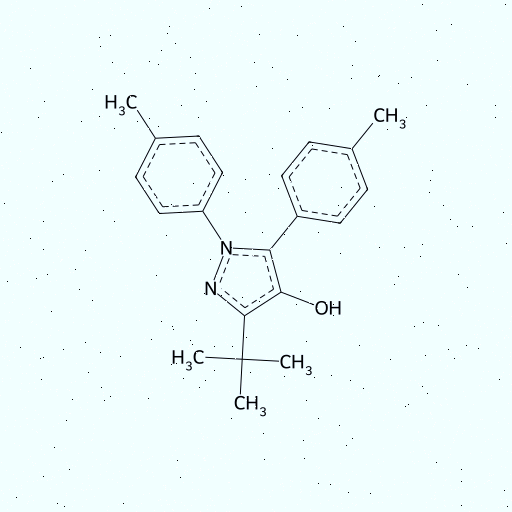 Cc1ccc(-c2c(O)c(C(C)(C)C)nn2-c2ccc(C)cc2)cc1